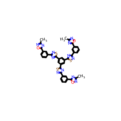 Cc1noc(-c2cccc(-c3nsc(-c4cc(-c5nc(-c6cccc(-c7nc(C)no7)c6)ns5)cc(-c5nc(-c6cccc(-c7nc(C)no7)c6)ns5)c4)n3)c2)n1